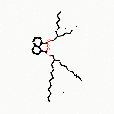 CCCCCCCCCCC(CCCCCCCC)COC(=O)c1cccc2cccc(C(=O)OCC(CCCC)CCCCCC)c12